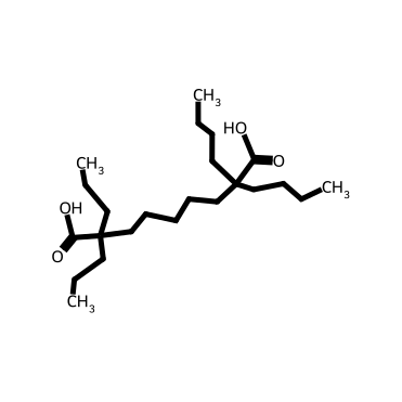 CCCCC(CCCC)(CCCCCC(CCC)(CCC)C(=O)O)C(=O)O